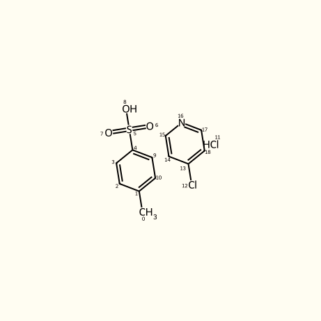 Cc1ccc(S(=O)(=O)O)cc1.Cl.Clc1ccncc1